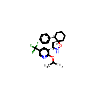 CC(C)Oc1ncc(C(F)(F)F)cc1[C@@H]1C[C@@]2(CCCC[C@H]2c2ccccc2)ON1